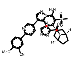 COc1ccc(-c2ccc(-c3cnn4c(N)c(S(C)(=O)=O)c([C@@H]5C[C@H]6CC[C@@H](C5)N6C(=O)c5nnc[nH]5)nc34)cn2)cc1C#N